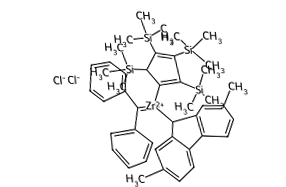 Cc1ccc2c(c1)[CH]([Zr+2]([C]1=C([Si](C)(C)C)C([Si](C)(C)C)=C([Si](C)(C)C)C1[Si](C)(C)C)=[C](c1ccccc1)c1ccccc1)c1cc(C)ccc1-2.[Cl-].[Cl-]